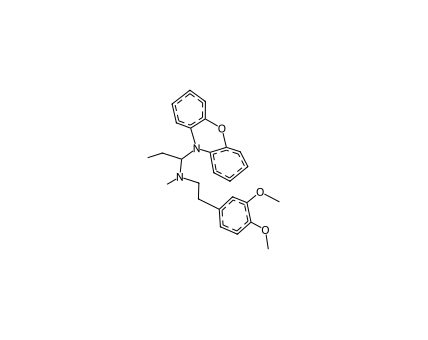 CCC(N(C)CCc1ccc(OC)c(OC)c1)N1c2ccccc2Oc2ccccc21